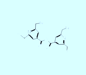 O=C(OC(=O)c1cc(CBr)nc(CBr)c1)c1cc(CBr)nc(CBr)c1